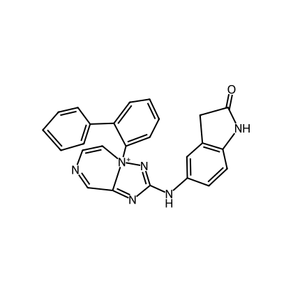 O=C1Cc2cc(NC3=N[N+]4(c5ccccc5-c5ccccc5)C=CN=CC4=N3)ccc2N1